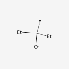 CCC([O])(F)CC